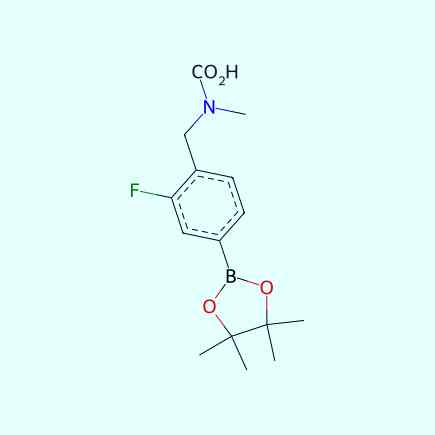 CN(Cc1ccc(B2OC(C)(C)C(C)(C)O2)cc1F)C(=O)O